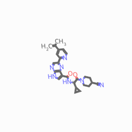 C=C(C)c1ccnc(-c2cnc3[nH]cc(C(=O)N[C@@H](C(=O)N4CCC(C#N)CC4)C4CC4)c3n2)c1